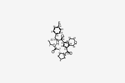 CCOC(=O)C[C@H]1CCCN1C(=O)c1cc(C(=O)N[C@H](C)c2ccc(F)cc2)n2c1COCC2